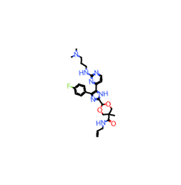 C=CCNC(=O)C1(C)COC(c2nc(-c3ccc(F)cc3)c(-c3ccnc(NCCCN(C)C)n3)[nH]2)OC1